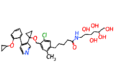 Cc1cc(COC2(c3cnccc3-c3ccccc3OC3CC3)CC2)c(Cl)cc1CCCCC(=O)NC[C@H](O)[C@@H](O)[C@H](O)[C@H](O)CO